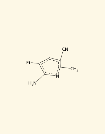 CCc1cc(C#N)c(C)nc1N